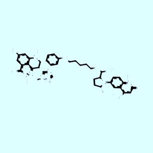 C[C@H]1CCC(C(OCCCCCOc2ccc([C@H]3Nc4cc(F)cc5c(=O)[nH]nc(c45)[C@@H]3c3ncnn3C)cc2)C(F)(F)F)N1c1ccc2[nH]c(=O)cc(C(F)(F)F)c2c1